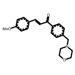 COc1ccc(C=CC(=O)c2ccc(CN3CCOCC3)cc2)cc1